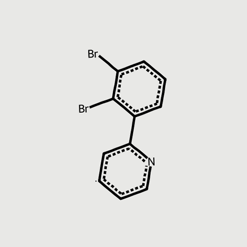 Brc1cccc(-c2c[c]ccn2)c1Br